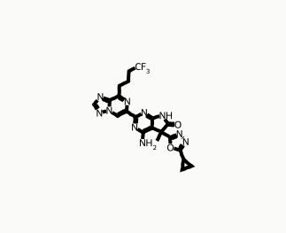 CC1(c2nnc(C3CC3)o2)C(=O)Nc2nc(-c3cn4ncnc4c(CCCC(F)(F)F)n3)nc(N)c21